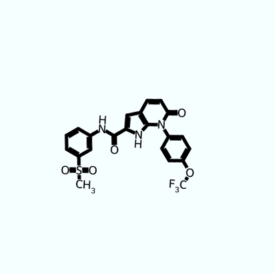 CS(=O)(=O)c1cccc(NC(=O)c2cc3ccc(=O)n(-c4ccc(OC(F)(F)F)cc4)c3[nH]2)c1